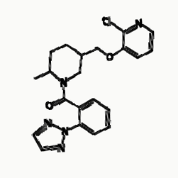 CC1CCC(COc2cccnc2Cl)CN1C(=O)c1ccccc1-n1nccn1